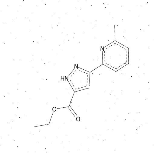 CCOC(=O)c1cc(-c2cccc(C)n2)n[nH]1